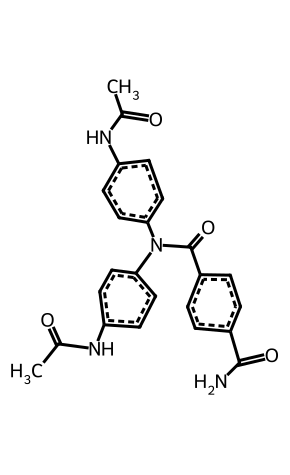 CC(=O)Nc1ccc(N(C(=O)c2ccc(C(N)=O)cc2)c2ccc(NC(C)=O)cc2)cc1